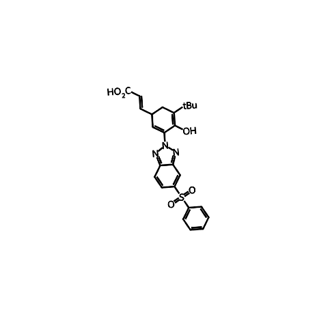 CC(C)(C)C1=C(O)C(n2nc3ccc(S(=O)(=O)c4ccccc4)cc3n2)=CC(C=CC(=O)O)C1